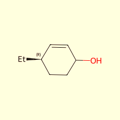 CC[C@H]1C=CC(O)CC1